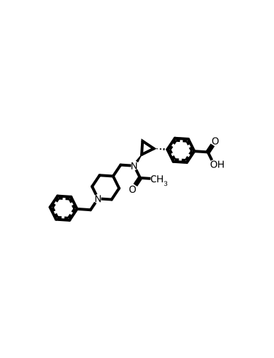 CC(=O)N(CC1CCN(Cc2ccccc2)CC1)[C@H]1C[C@@H]1c1ccc(C(=O)O)cc1